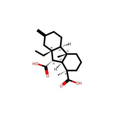 C=C1CC[C@H]2[C@]3(C)CCC[C@@](C)(C(=O)O)[C@H]3[C@H](C(=O)O)[C@]2(CC)C1